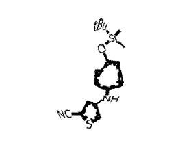 CC(C)(C)[Si](C)(C)Oc1ccc(Nc2csc(C#N)c2)cc1